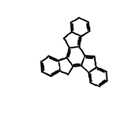 C1=CC2=c3c(c4c(c5c3=Cc3ccccc3-5)Cc3ccccc3-4)CC2=CC1